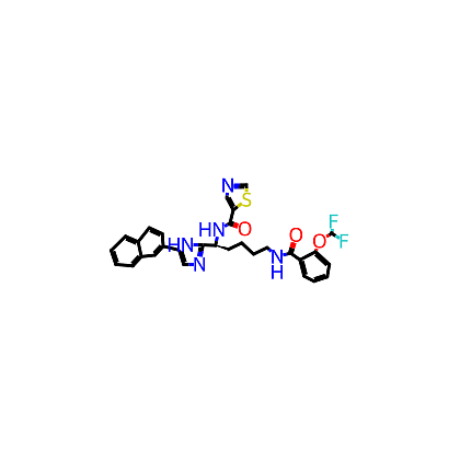 O=C(N[C@@H](CCCCNC(=O)c1ccccc1OC(F)F)c1ncc(-c2ccc3ccccc3c2)[nH]1)c1cncs1